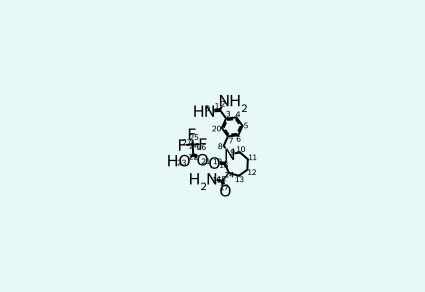 N=C(N)c1cccc(CN2CCCC[C@@H](C(N)=O)C2=O)c1.O=C(O)C(F)(F)F